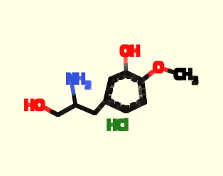 COc1ccc(CC(N)CO)cc1O.Cl